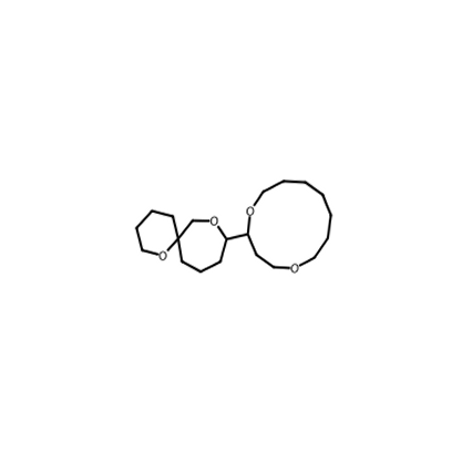 C1CCCOCCC(C2CCCC3(CCCCO3)CO2)OCCC1